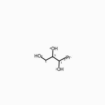 C[C](C)C(O)[C](O)CO